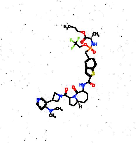 CCCOC(=O)[C@H](C)NP(=O)(Cc1ccc2sc(C(=O)N[C@H]3CCC[C@H]4CC[C@@H](C(=O)N5CC(c6cnccc6N(C)C)C5)N4C3=O)cc2c1)OCC(F)(F)F